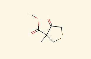 [Li][C]1(C(=O)OC)CSCC1=O